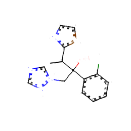 CC(c1nccs1)C(O)(Cn1cncn1)c1ccccc1Cl